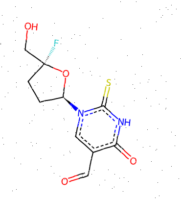 O=Cc1cn([C@H]2CC[C@@](F)(CO)O2)c(=S)[nH]c1=O